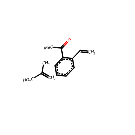 C=C(C)C(=O)O.C=Cc1ccccc1C(=O)OC